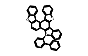 c1ccc(-c2ccccc2-n2c3ccccc3c3c4oc5ccccc5c4c4c(ccc5oc6ccccc6c54)c32)cc1